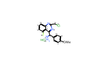 COc1ccc(C(N)c2nc(CCl)nc3cccc(F)c23)cc1.Cl